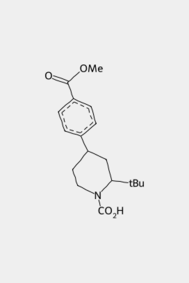 COC(=O)c1ccc(C2CCN(C(=O)O)C(C(C)(C)C)C2)cc1